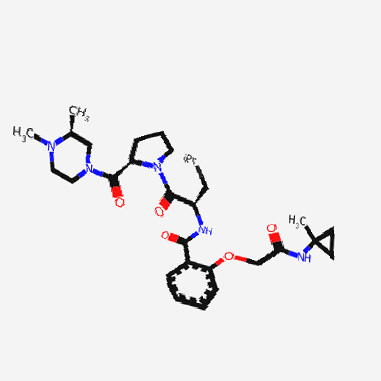 CC(C)C[C@@H](NC(=O)c1ccccc1OCC(=O)NC1(C)CC1)C(=O)N1CCC[C@@H]1C(=O)N1CCN(C)[C@@H](C)C1